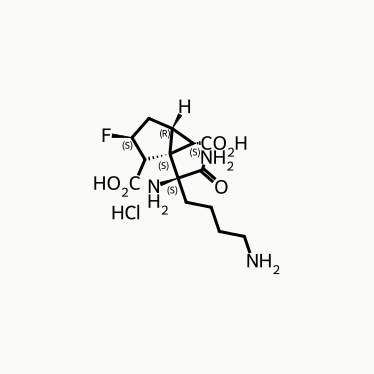 Cl.NCCCC[C@@](N)(C(N)=O)[C@@]12C(C(=O)O)[C@@H](F)C[C@@H]1[C@@H]2C(=O)O